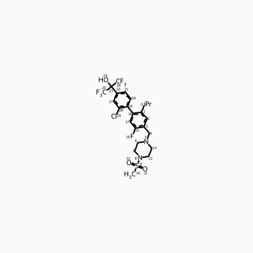 CC(C)c1cc(CN2CCN(S(C)(=O)=O)CC2)c(F)cc1-c1ccc(C(O)(C(F)(F)F)C(F)(F)F)cc1Cl